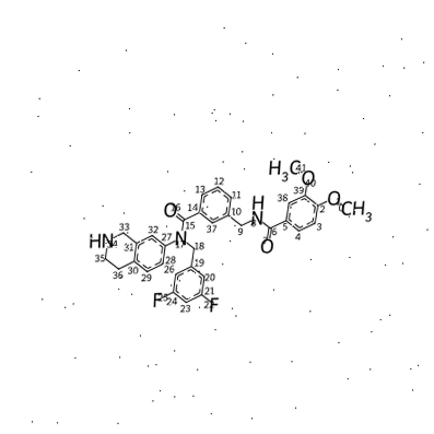 COc1ccc(C(=O)NCc2cccc(C(=O)N(Cc3cc(F)cc(F)c3)c3ccc4c(c3)CNCC4)c2)cc1OC